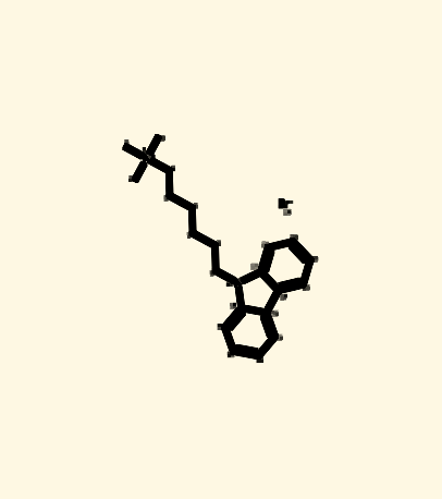 C[N+](C)(C)CCCCCCn1c2ccccc2c2ccccc21.[Br-]